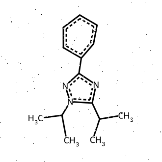 CC(C)c1nc(-c2ccccc2)nn1C(C)C